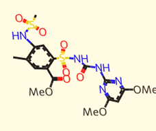 COC(=O)c1cc(C)c(NS(C)(=O)=O)cc1S(=O)(=O)NC(=O)Nc1nc(OC)cc(OC)n1